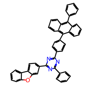 c1ccc(-c2nc(-c3ccc(-c4c5ccccc5c(-c5ccccc5)c5ccccc45)cc3)nc(-c3ccc4c(c3)oc3ccccc34)n2)cc1